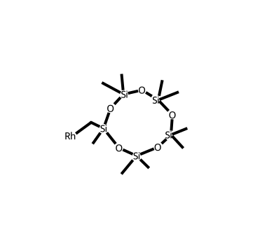 C[Si]1(C)O[Si](C)(C)O[Si](C)(C)O[Si](C)([CH2][Rh])O[Si](C)(C)O1